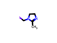 CC1=NCCN1CI